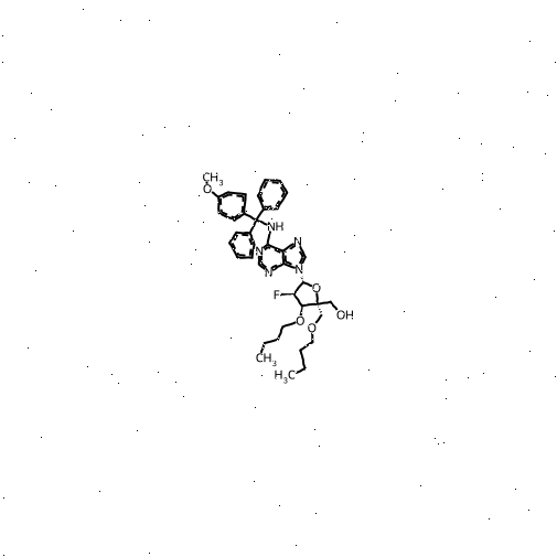 CCCCOC[C@@]1(CO)O[C@@H](n2cnc3c(NC(c4ccccc4)(c4ccccc4)c4ccc(OC)cc4)ncnc32)[C@H](F)[C@@H]1OCCCC